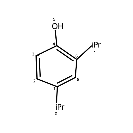 CC(C)c1c[c]c(O)c(C(C)C)c1